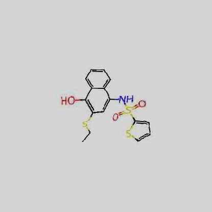 CCSc1cc(NS(=O)(=O)c2cccs2)c2ccccc2c1O